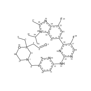 CCC1(CC=O)CN(Cc2ccc(Nc3ncc(F)c(-c4cc(F)c5nc(C)n(C(C)C)c5c4)n3)nc2)CCO1